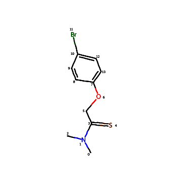 CN(C)C(=S)COc1ccc(Br)cc1